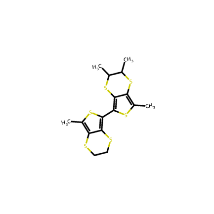 Cc1sc(-c2sc(C)c3c2SC(C)C(C)S3)c2c1SCCS2